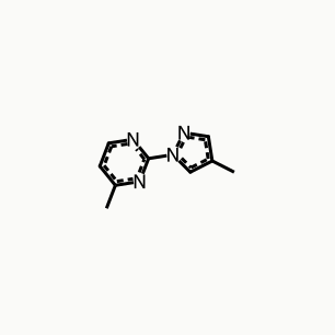 Cc1cnn(-c2nccc(C)n2)c1